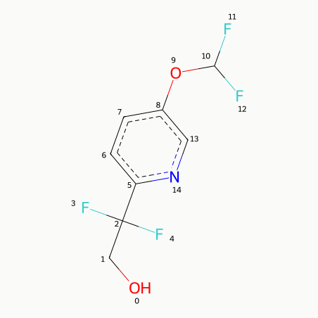 OCC(F)(F)c1ccc(OC(F)F)cn1